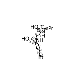 CCCC(NC(=O)CCC(NC(=O)COCCOCC)C(=O)O)C(=O)O